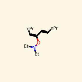 CCC/C=C/C(=C\CCC)ON(CC)CC